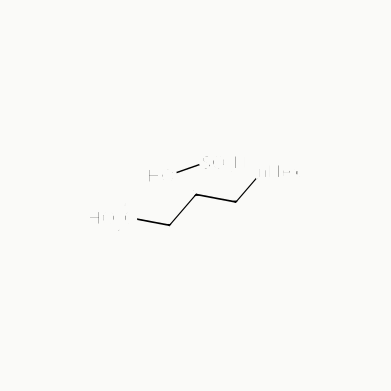 CCCCCCCCCC(=O)O.O=S(=O)(O)O